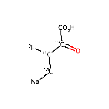 [2H][13CH]([13CH2][Na])[13C](=O)[13C](=O)O